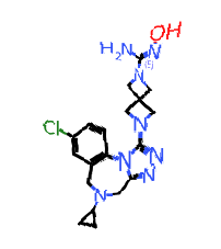 N/C(=N\O)N1CC2(C1)CN(c1nnc3n1-c1ccc(Cl)cc1CN(C1CC1)C3)C2